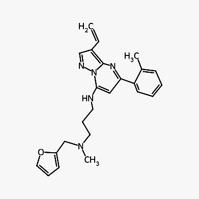 C=Cc1cnn2c(NCCCN(C)Cc3ccco3)cc(-c3ccccc3C)nc12